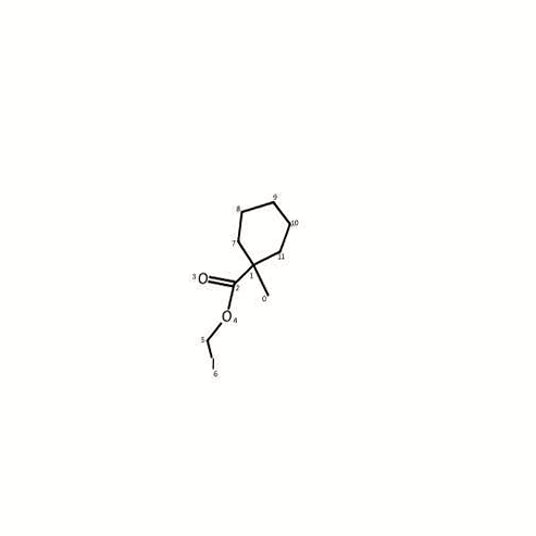 CC1(C(=O)OCI)CCCCC1